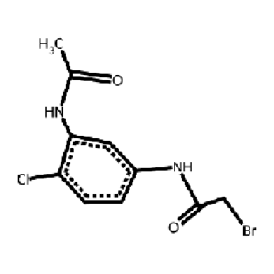 CC(=O)Nc1cc(NC(=O)CBr)ccc1Cl